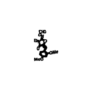 CCN1C(=O)/C(=C\c2ccc(OC)cc2OC)O/C1=N/OC=O